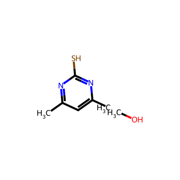 CO.Cc1cc(C)nc(S)n1